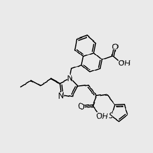 CCCCc1ncc(C=C(Cc2cccs2)C(=O)O)n1Cc1ccc(C(=O)O)c2ccccc12